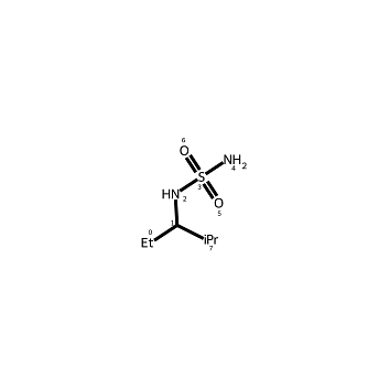 CCC(NS(N)(=O)=O)C(C)C